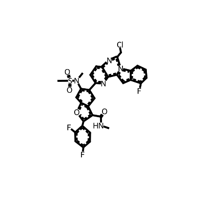 CNC(=O)c1c(-c2ccc(F)cc2F)oc2cc(N(C)S(C)(=O)=O)c(-c3ccc4nc(CCl)n5c6cccc(F)c6cc5c4n3)cc12